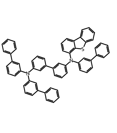 c1ccc(-c2cccc(N(c3cccc(-c4ccccc4)c3)c3cccc(-c4cccc(N(c5cccc(-c6ccccc6)c5)c5cccc6c5sc5ccccc56)c4)c3)c2)cc1